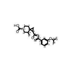 O=C(O)N1CCC2(CC2c2nc(-c3cccc(OC(F)F)c3)no2)C(F)C1